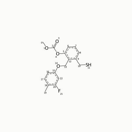 COC(=O)Oc1cccc(CS)c1COc1ccc(C)c(F)c1